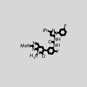 CNc1ncc2cc(-c3ccc(F)c(NC(=O)Nc4cc(C(C)C)nn4-c4cccc(F)c4)c3)c(=O)n(C)c2n1